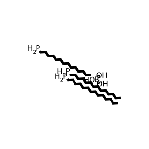 CCCCCCCCCCCCCCP.CCCCCCCCCCCCCCP.CCCCCCCCCCCCCCP.OB(O)O